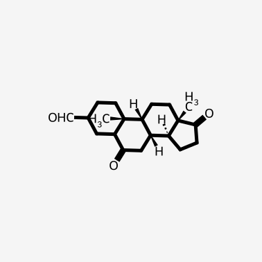 C[C@]12CCC(C=O)CC1C(=O)C[C@@H]1[C@H]2CC[C@]2(C)C(=O)CC[C@@H]12